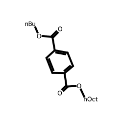 CCCCCCCCOC(=O)c1ccc(C(=O)OCCCC)cc1